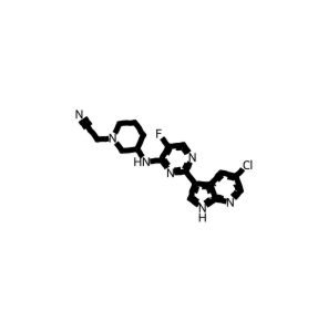 N#CCN1CCCC(Nc2nc(-c3c[nH]c4ncc(Cl)cc34)ncc2F)C1